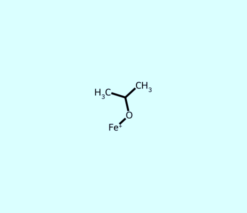 CC(C)[O][Fe+]